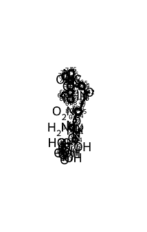 C[C@@H](Oc1nc(N)nc2c1ncn2[C@H]1C[C@@H](O)[C@@H](COP(=O)(O)OP(=O)(O)OP(=O)(O)O)O1)c1ccc(C#CCNC(=O)c2ccc(C=O)c(C3=c4cc5c6c(c4Oc4c3cc3c7c4CCCN7CCC3)CCC[N+]=6CCC5)c2)cc1[N+](=O)[O-]